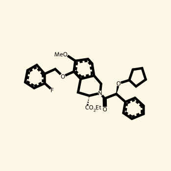 CCOC(=O)[C@@H]1Cc2c(ccc(OC)c2OCc2ccccc2F)CN1C(=O)[C@@H](OC1CCCC1)c1ccccc1